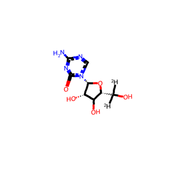 [2H]C([2H])(O)[C@H]1O[C@@H](n2cnc(N)nc2=O)[C@@H](O)C1O